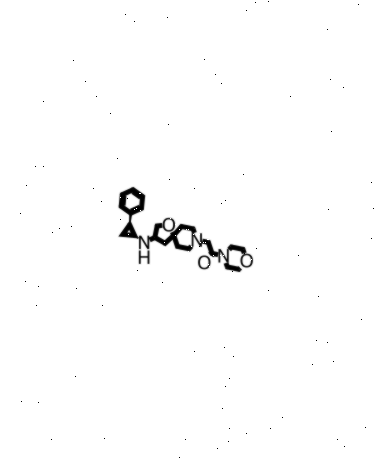 O=C(CN1CCC2(CC1)CC(N[C@@H]1C[C@H]1c1ccccc1)CO2)N1CCOCC1